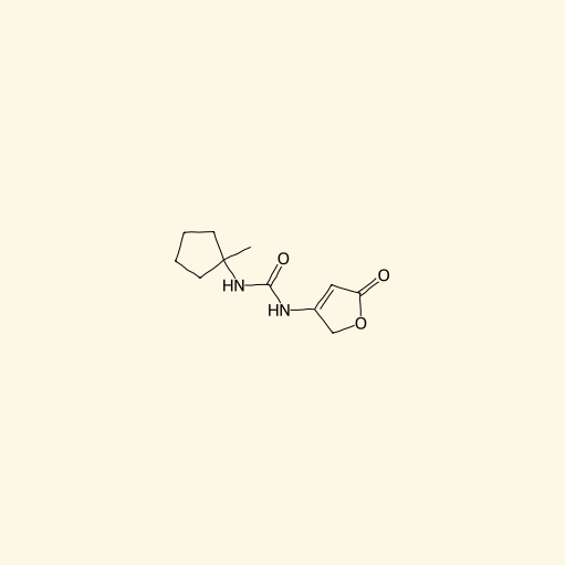 CC1(NC(=O)NC2=CC(=O)OC2)CCCC1